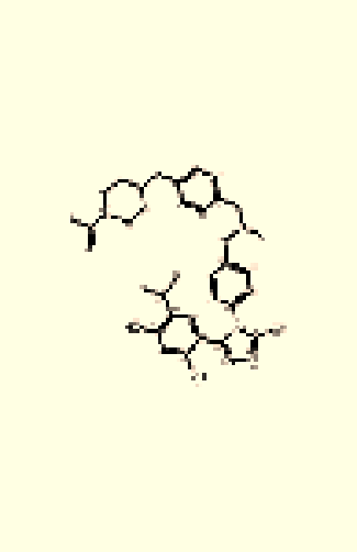 CC(=O)N1CCC(Cc2ccc(CN(C)Cc3ccc(-n4c(O)nnc4-c4cc(C(C)C)c(O)cc4O)cc3)cc2)CC1